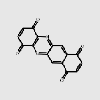 O=c1ccc(=O)c2cc3nc4c(=O)ccc(=O)c4nc3cc12